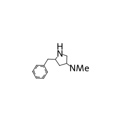 CNC1CNC(Cc2ccccc2)C1